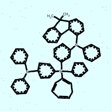 CC1(C)c2ccccc2-c2c(N(c3ccccc3)c3cccc([Si](C4=CCC=CC=C4)(c4ccccc4)c4ccc(N(c5ccccc5)c5ccccc5)cc4)c3)cccc21